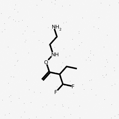 C=C(ONCCN)C(CC)C(F)F